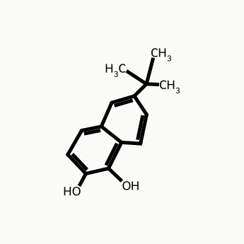 CC(C)(C)c1ccc2c(O)c(O)ccc2c1